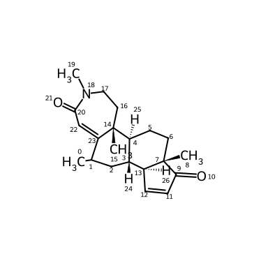 CC1C[C@@H]2[C@H](CC[C@]3(C)C(=O)C=C[C@@H]23)[C@@]2(C)CCN(C)C(=O)C=C12